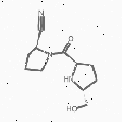 N#C[C@@H]1CCCN1C(=O)[C@H]1CC[C@H](CO)N1